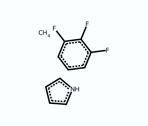 C.Fc1cccc(F)c1F.c1cc[nH]c1